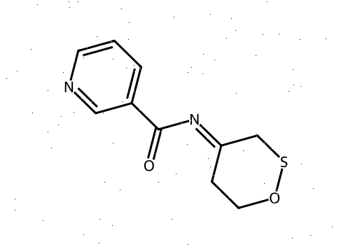 O=C(/N=C1\CCOSC1)c1cccnc1